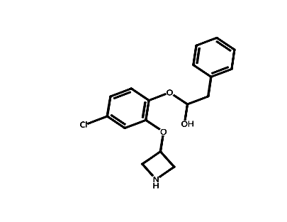 OC(Cc1ccccc1)Oc1ccc(Cl)cc1OC1CNC1